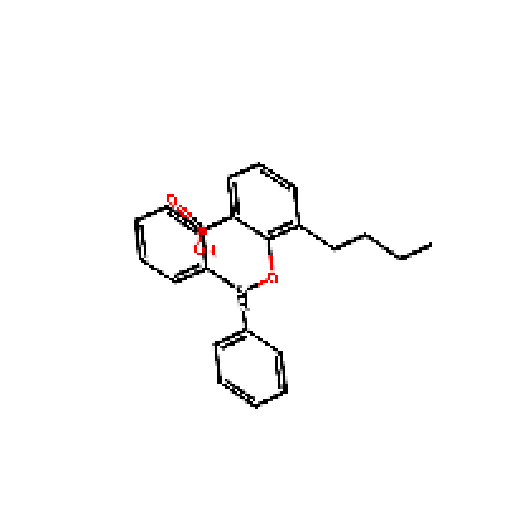 CCCCc1cccc(C(=O)O)c1O[SiH](c1ccccc1)c1ccccc1